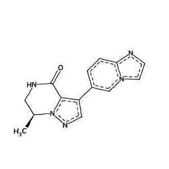 C[C@H]1CNC(=O)c2c(-c3ccc4nccn4c3)cnn21